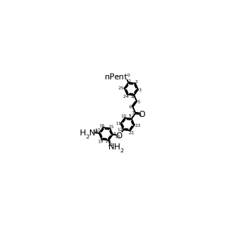 CCCCCc1ccc(C=CC(=O)c2ccc(Oc3ccc(N)cc3N)cc2)cc1